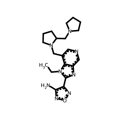 CCn1c(-c2nonc2N)nc2cncc(CN3CCCC3CN3CCCC3)c21